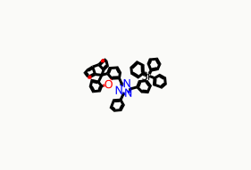 c1ccc(-c2nc(-c3cccc([Si](c4ccccc4)(c4ccccc4)c4ccccc4)c3)nc(-c3cccc4c3Oc3ccccc3C43c4ccccc4-c4ccccc43)n2)cc1